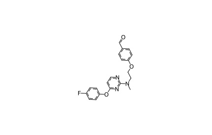 CN(CCOc1ccc(C=O)cc1)c1nccc(Oc2ccc(F)cc2)n1